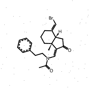 CC(=O)N(C=C1C(=O)C[C@H]2/C(=C/Br)CCC[C@@]12C)CCc1ccccc1